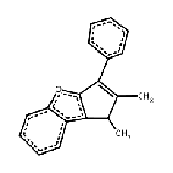 CC1=C(c2ccccc2)c2oc3ccccc3c2C1C